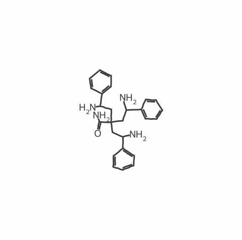 NC(=O)C(CC(N)c1ccccc1)(CC(N)c1ccccc1)CC(N)c1ccccc1